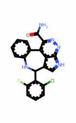 NC(=O)c1nnc2[nH]cc3c2c1-c1ccccc1NC3c1c(F)cccc1Cl